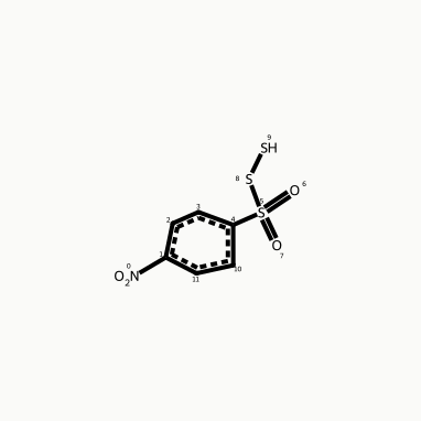 O=[N+]([O-])c1ccc(S(=O)(=O)SS)cc1